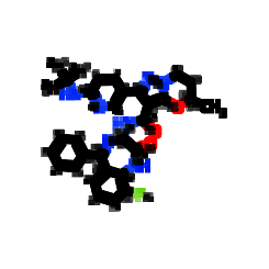 [2H]C([2H])([2H])Nc1ccc(-c2nn3c(c2C(=O)N[C@H]2N=C(c4ccccc4)c4cccc(F)c4NC2=O)O[C@H](C)CC3)cn1